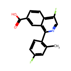 Cc1cc(F)ccc1-c1ncc(F)c2ccc(C(=O)O)cc12